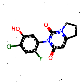 O=c1cc2n(c(=O)n1-c1cc(O)c(Cl)cc1F)CCC2